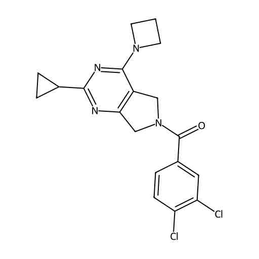 O=C(c1ccc(Cl)c(Cl)c1)N1Cc2nc(C3CC3)nc(N3CCC3)c2C1